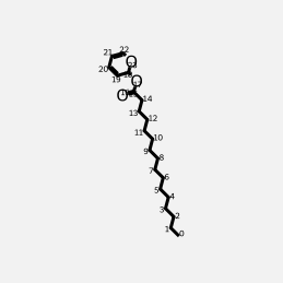 CCCCCCCCCCCCCCCC(=O)OC1C=CC=CO1